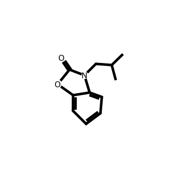 CC(C)Cn1c(=O)oc2ccccc21